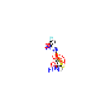 O=C1NCCCc2sc(S(=O)(=O)CCCN3CCC(c4noc5cc(F)ccc45)CC3)cc21